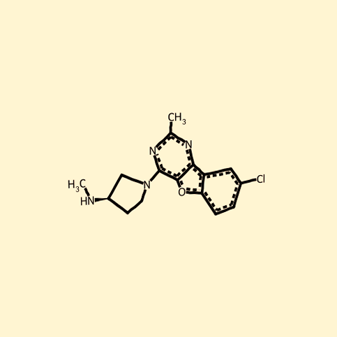 CN[C@@H]1CCN(c2nc(C)nc3c2oc2ccc(Cl)cc23)C1